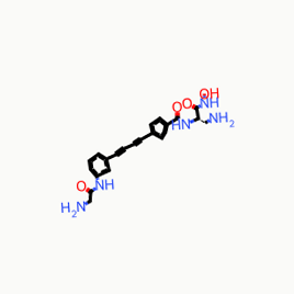 NCC(=O)Nc1cccc(C#CC#Cc2ccc(C(=O)N[C@@H](CN)C(=O)NO)cc2)c1